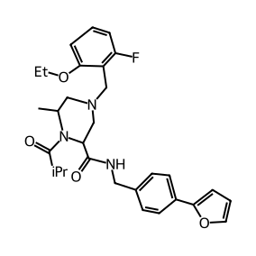 CCOc1cccc(F)c1CN1CC(C)N(C(=O)C(C)C)C(C(=O)NCc2ccc(-c3ccco3)cc2)C1